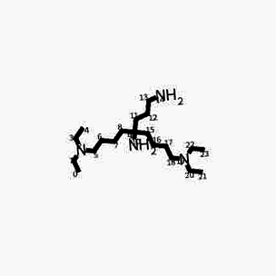 CCN(CC)CCCCC(N)(CCCN)CCCCN(CC)CC